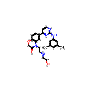 Cc1cc(C)cc(Nc2nccc(-c3ccc4c(c3)N(CCNCCO)C(=O)CO4)n2)c1